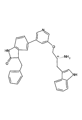 N[C@@H](COc1cncc(-c2ccc3c(c2)C(Cc2ccccc2)C(=O)N3)c1)Cc1c[nH]c2ccccc12